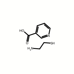 NCCS.O=C(O)c1cccnc1